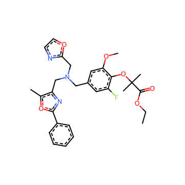 CCOC(=O)C(C)(C)Oc1c(F)cc(CN(Cc2ncco2)Cc2nc(-c3ccccc3)oc2C)cc1OC